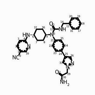 N#Cc1ccc(N[C@H]2CC[C@H](N(C(=O)NCc3ccccc3)c3ccc(-c4cnn(CC(N)=O)c4)cc3)CC2)nc1